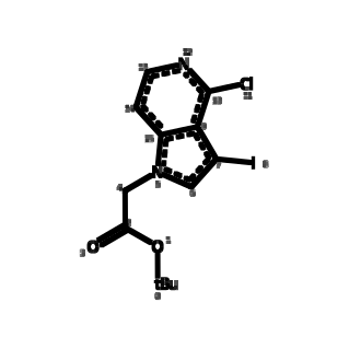 CC(C)(C)OC(=O)Cn1cc(I)c2c(Cl)nccc21